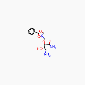 NC[C@H](O)C(OCN1COC(c2ccccc2)O1)C(N)=O